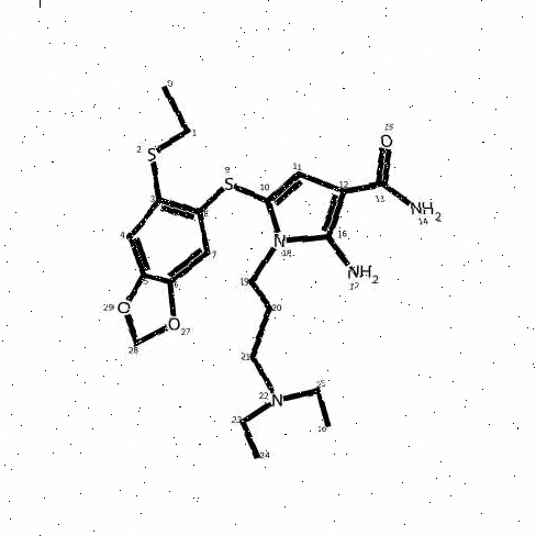 CCSc1cc2c(cc1Sc1cc(C(N)=O)c(N)n1CCCN(CC)CC)OCO2